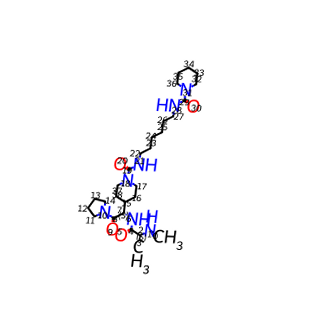 CN[C@@H](C)C(=O)N[C@H](C(=O)N1CCCC1)C1CCN(C(=O)NCCCCCCNC(=O)N2CCCCC2)CC1